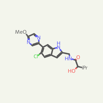 COc1cnc(-c2cc3[nH]c(CNC(=O)C(O)C(C)C)cc3cc2Cl)cn1